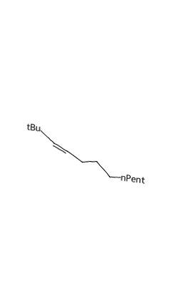 CCCCCCCCC=CC(C)(C)C